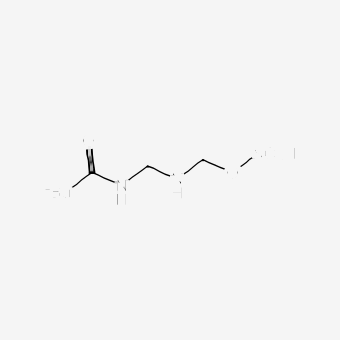 CC(C)(C)C(=O)NCNCOS(=O)(=O)O